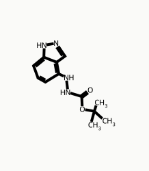 CC(C)(C)OC(=O)NNc1cccc2[nH]ncc12